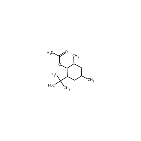 CC(=O)OC1C(C)CC(C)CC1C(C)(C)C